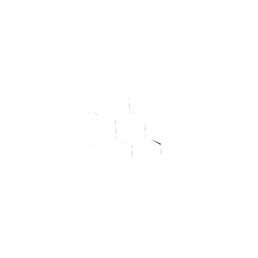 CC(=O)NC1C(O)O[C@@H](COC(C)=O)C(OC(C)=O)C1OC(C)=O